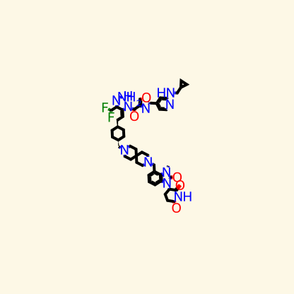 Cn1c(=O)n(C2CCC(=O)NC2=O)c2cccc(CN3CCC4(CC3)CCN(C[C@H]3CC[C@H](C/C=C(NC(=O)c5coc(-c6ccnc(NCC7CC7)c6)n5)\C(=N/N)C(F)F)CC3)CC4)c21